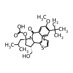 COc1cc(C(=O)N2C(c3nccs3)[C@H](CO)C[C@]2(CC(C)C)OC(=O)O)ccc1C(C)(C)C